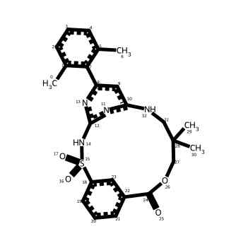 Cc1cccc(C)c1-c1cc2nc(n1)NS(=O)(=O)c1cccc(c1)C(=O)OCC(C)(C)CN2